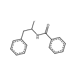 [CH2]C(Cc1ccccc1)NC(=O)c1ccccc1